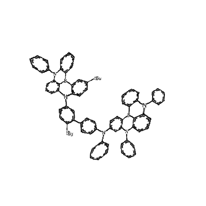 CC(C)(C)c1ccc2c(c1)B1c3ccccc3N(c3ccccc3)c3cccc(c31)N2c1ccc(C(C)(C)C)c(-c2ccc(N(c3ccccc3)c3ccc4c(c3)N(c3ccccc3)c3cccc5c3B4c3ccccc3N5c3ccccc3)cc2)c1